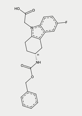 O=C(O)Cn1c2c(c3cc(F)ccc31)C[C@H](NC(=O)OCc1ccccc1)CC2